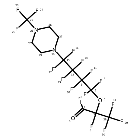 O=C(I)C(F)(OC(F)(F)C(F)(F)C(F)(F)C(F)(F)N1CCN(C(F)(F)F)CC1)C(F)(F)F